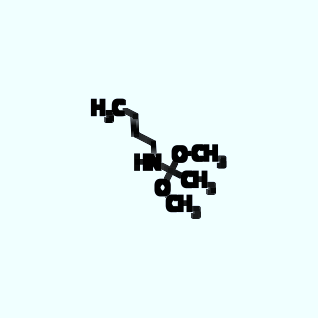 CC=CCNC(C)(OC)OC